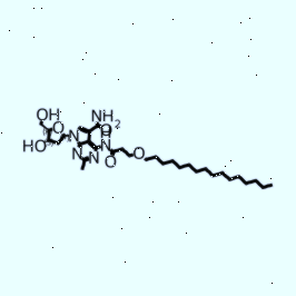 CCCCCCCCCCCCCCCCOCCC(=O)Nc1nc(C)nc2c1c(C(N)=O)cn2[C@H]1C[C@H](O)[C@@H](CO)O1